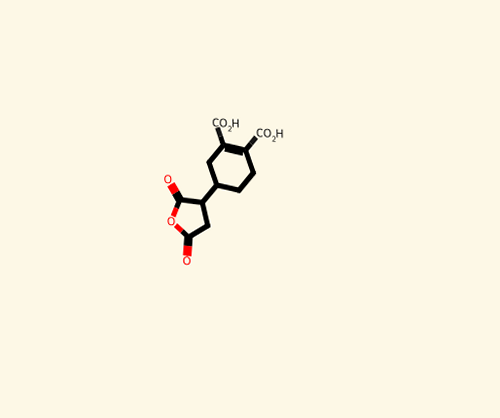 O=C1CC(C2CCC(C(=O)O)=C(C(=O)O)C2)C(=O)O1